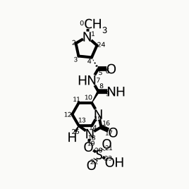 CN1CC[C@@H](C(=O)NC(=N)[C@@H]2CC[C@@H]3CN2C(=O)N3OS(=O)(=O)O)C1